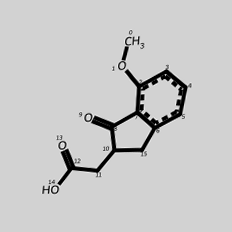 COc1cccc2c1C(=O)C(CC(=O)O)C2